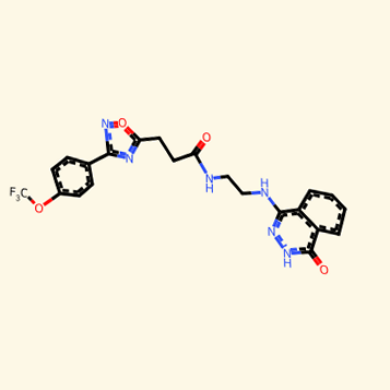 O=C(CCc1nc(-c2ccc(OC(F)(F)F)cc2)no1)NCCNc1n[nH]c(=O)c2ccccc12